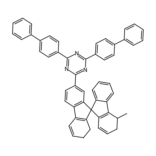 CC1CC=CC2=C1c1ccccc1C21C2=C(C=CCC2)c2ccc(-c3nc(-c4ccc(-c5ccccc5)cc4)nc(-c4ccc(-c5ccccc5)cc4)n3)cc21